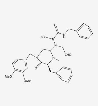 CCCN(C(=O)NCc1ccccc1)N(CC=O)[C@H]1CN(Cc2ccc(OC)c(OC)c2)C(=O)[C@H](Cc2ccccc2)N1C